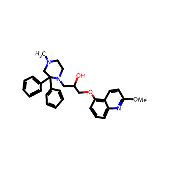 COc1ccc2c(OCC(O)CN3CCN(C)CC3(c3ccccc3)c3ccccc3)cccc2n1